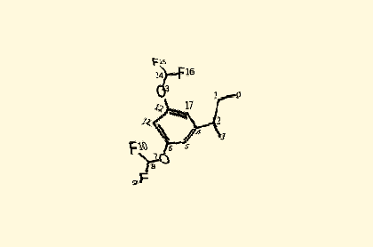 CC[C](C)c1cc(OC(F)F)cc(OC(F)F)c1